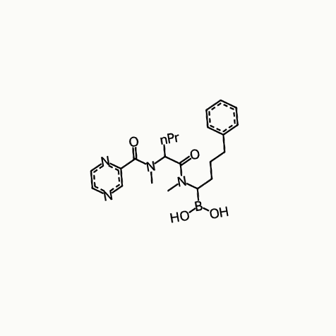 CCCC(C(=O)N(C)C(CCCc1ccccc1)B(O)O)N(C)C(=O)c1cnccn1